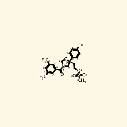 CS(=O)(=O)OCC[C@@]1(c2ccc(F)cc2)CN(C(=O)c2cc(C(F)(F)F)cc(C(F)(F)F)c2)CO1